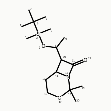 CC(O[Si](C)(C)C(C)(C)C)C1C(=O)N2C1CCOC2(C)C